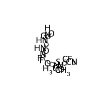 CC1(C)C(=O)N(c2ccc(C#N)c(C(F)(F)F)c2)C(=S)N1C1CCC(OCCC2CCN(CC(=O)Nc3cccc(NC4CCC(=O)NC4=O)c3)CC2(F)F)CC1